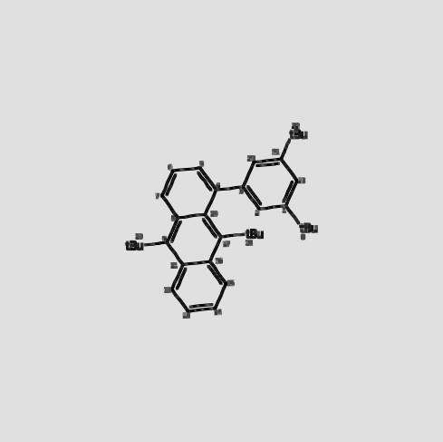 CC(C)(C)c1cc(-c2cccc3c(C(C)(C)C)c4ccccc4c(C(C)(C)C)c23)cc(C(C)(C)C)c1